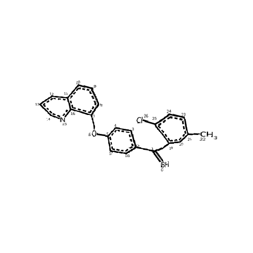 B=C(c1ccc(Oc2cccc3cccnc23)cc1)c1cc(C)ccc1Cl